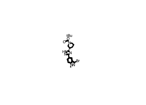 Cn1nc(Br)c2cc(-c3n[nH]c([C@@H]4CCCN(C(=O)OC(C)(C)C)C4)n3)ccc21